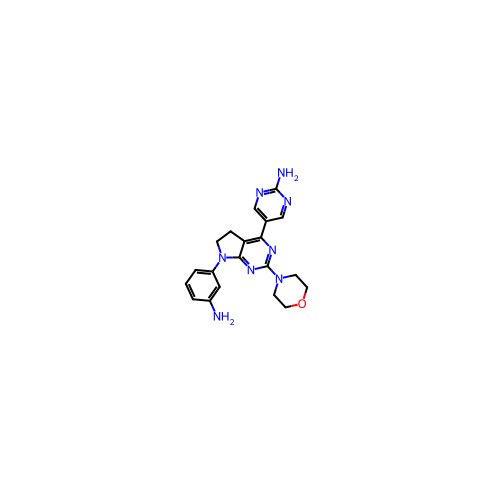 Nc1cccc(N2CCc3c(-c4cnc(N)nc4)nc(N4CCOCC4)nc32)c1